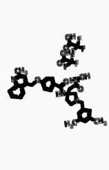 Cc1cc(C)cc(CN2CCC(CC(=O)NO)(NC(=O)c3ccc(OCc4cc(C)nc5ccccc45)cc3)C2)c1.O=C(O)C(F)(F)F.O=C(O)C(F)(F)F